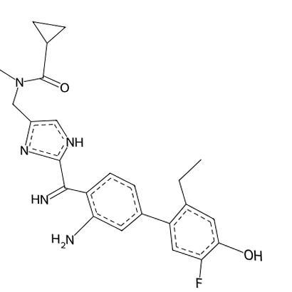 CCc1cc(O)c(F)cc1-c1ccc(C(=N)c2nc(CN(C)C(=O)C3CC3)c[nH]2)c(N)c1